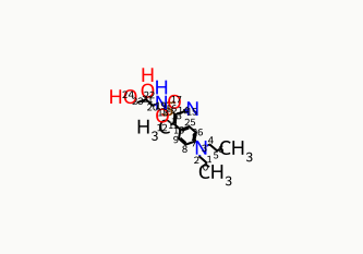 CCCN(CCC)c1ccc(/C(C)=C(\C#N)S(=O)(=O)NCC(O)CO)cc1